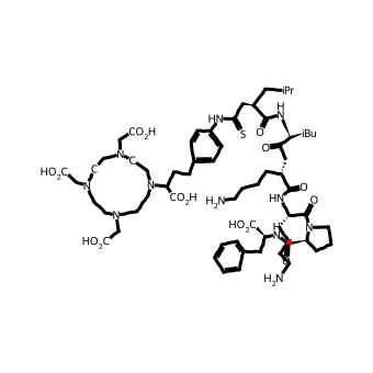 CC[C@H](C)[C@H](NC(=O)[C@@H](CC(=S)Nc1ccc(CCC(C(=O)O)N2CCN(CC(=O)O)CCN(CC(=O)O)CCN(CC(=O)O)CC2)cc1)CC(C)C)C(=O)C[C@@H](CCCCN)C(=O)N[C@@H](CCCCN)C(=O)N1CCC[C@H]1C(=O)N[C@@H](Cc1ccccc1)C(=O)O